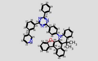 CC1(C)c2ccccc2N(c2ccc(-c3nc(-c4ccccc4)nc(-c4cccc(-c5cccnc5)c4)n3)cc2)c2c1c1ccccc1c1c2oc2ccccc21